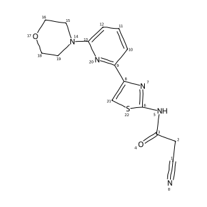 N#CCC(=O)Nc1nc(-c2cccc(N3CCOCC3)n2)cs1